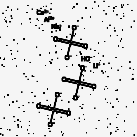 O=S(=O)([O-])[O-].O=S(=O)([O-])[O-].O=S(=O)([O-])[O-].[Al+3].[Ca+2].[Li+].[Na+].[OH-]